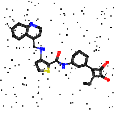 COc1c(-c2cccc(NC(=O)c3sccc3NCc3ccnc4ccccc34)c2)c(=O)c1=O